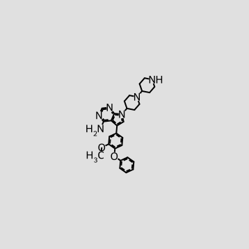 COc1cc(-c2cn(C3CCN(C4CCNCC4)CC3)c3ncnc(N)c23)ccc1Oc1ccccc1